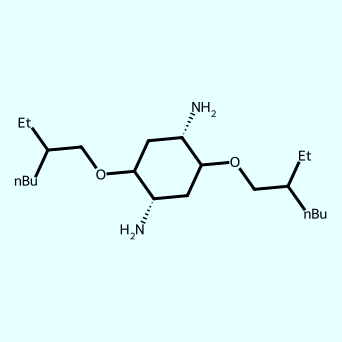 CCCCC(CC)COC1C[C@H](N)C(OCC(CC)CCCC)C[C@@H]1N